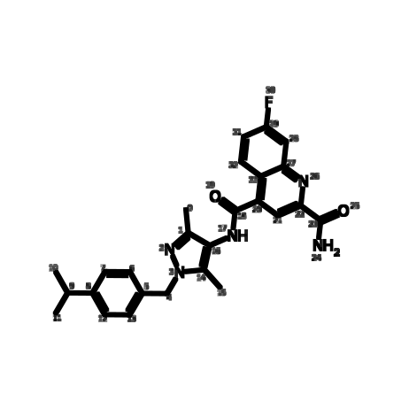 Cc1nn(Cc2ccc(C(C)C)cc2)c(C)c1NC(=O)c1cc(C(N)=O)nc2cc(F)ccc12